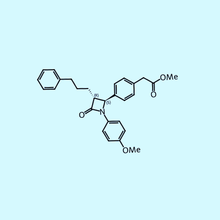 COC(=O)Cc1ccc([C@@H]2[C@@H](CCCc3ccccc3)C(=O)N2c2ccc(OC)cc2)cc1